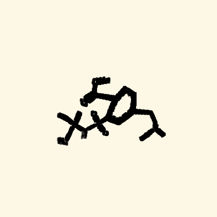 COC(=O)c1ccc(CN(C)C)cc1S(=O)(=O)N[Si](C)(C)C(C)(C)C